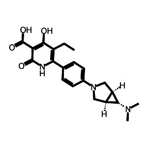 CCc1c(-c2ccc(N3C[C@@H]4[C@H](C3)[C@H]4N(C)C)cc2)[nH]c(=O)c(C(=O)O)c1O